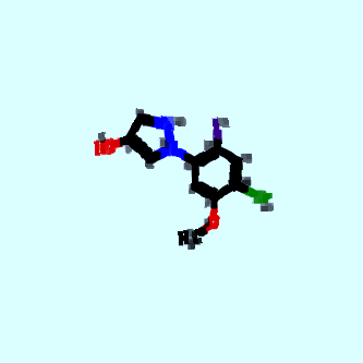 COc1cc(-n2cc(O)cn2)c(I)cc1Br